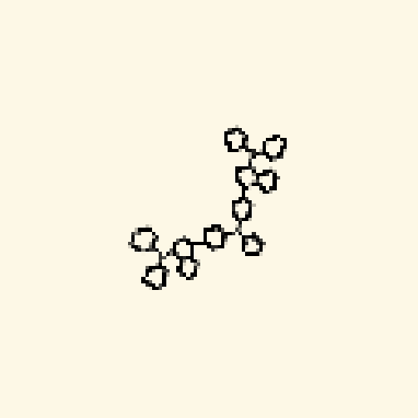 c1ccc(N(c2ccc(-c3ccc(N(c4ccccc4)c4ccccc4)c4ccccc34)cc2)c2ccc(-c3ccc(N(c4ccccc4)c4ccccc4)c4ccccc34)cc2)cc1